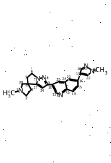 CN1CCC2(CCn3nc(-c4cnc5ccc(-c6cnn(C)c6)cc5c4)cc32)C1